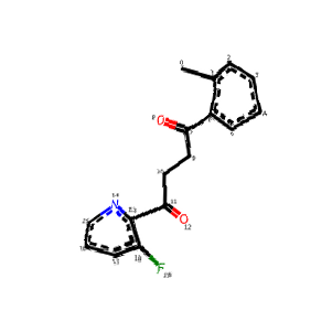 Cc1ccccc1C(=O)CCC(=O)c1ncccc1F